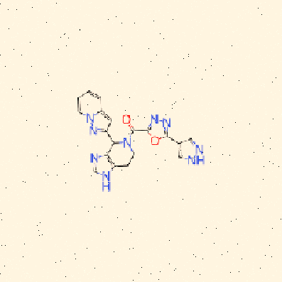 O=C(c1nnc(-c2cn[nH]c2)o1)N1CCc2[nH]cnc2C1c1cc2ccccn2n1